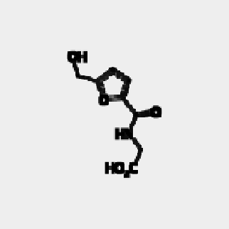 O=C(O)CNC(=O)c1ccc(CO)o1